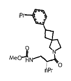 CCC[C@H](CNC(=O)OC)C(=O)N1CCC2(CC(c3cccc(C(C)C)c3)C2)C1